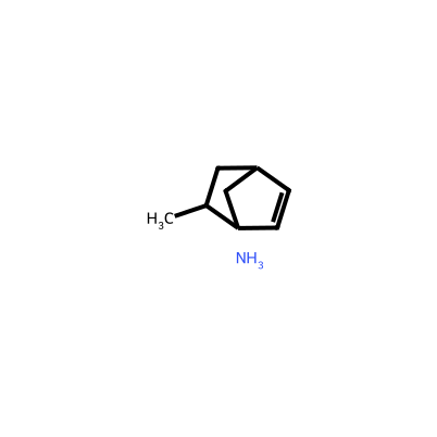 CC1CC2C=CC1C2.N